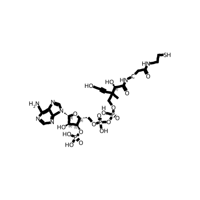 CC(C#CO)(COP(=O)(O)OP(=O)(O)OC[C@H]1O[C@@H](n2cnc3c(N)ncnc32)[C@H](O)[C@@H]1OP(=O)(O)O)[C@@H](O)C(=O)NCCC(=O)NCCS